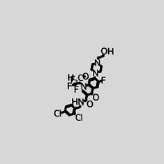 COc1c(N2CCN(CCO)CC2)c(F)cc2c(=O)c(C(=O)NCc3ccc(Cl)cc3Cl)cn(CC(F)(F)F)c12